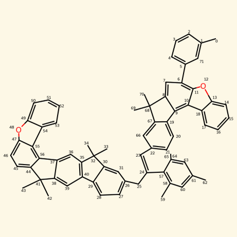 Cc1cccc(-c2cc3c(c4c2oc2ccccc24)-c2ccc(/C=C(/Cc4ccc5c(c4)C(C)(C)c4cc6c(cc4-5)C(C)(C)c4ccc5oc7ccccc7c5c4-6)c4c(C)cc(C)cc4C)cc2C3(C)C)c1